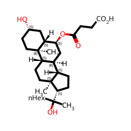 CCCCCCC(C)(O)[C@H]1CC[C@H]2[C@@H]3C[C@H](OC(=O)CCC(=O)O)[C@H]4C[C@@H](O)CC[C@]4(C)[C@H]3CC[C@]12C